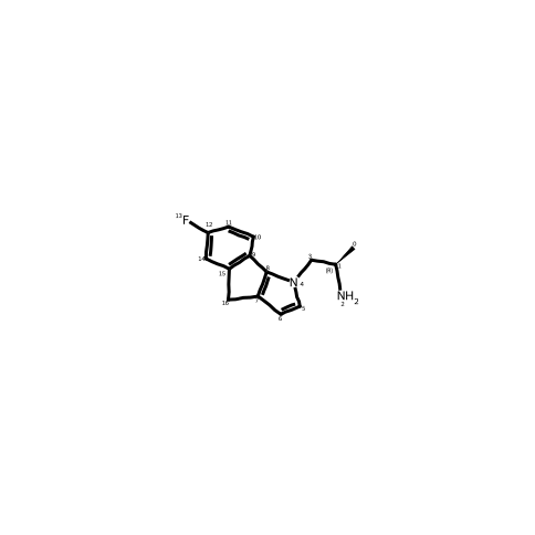 C[C@@H](N)Cn1ccc2c1-c1ccc(F)cc1C2